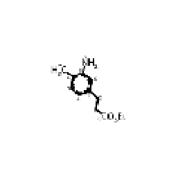 CCOC(=O)CCc1ccc(C)c(N)c1